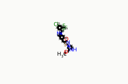 COCC1CN(C2=NC(=O)/C(=C\c3ccc4c(cnn4Cc4ccc(Cl)cc4C(F)(F)F)c3)S2)CCN1